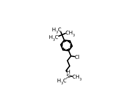 C[SiH](C)CCCC(Cl)c1ccc(C(C)(C)C)cc1